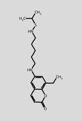 CCc1cc(NCCCCCNSC(C)C)cc2ccc(=O)oc12